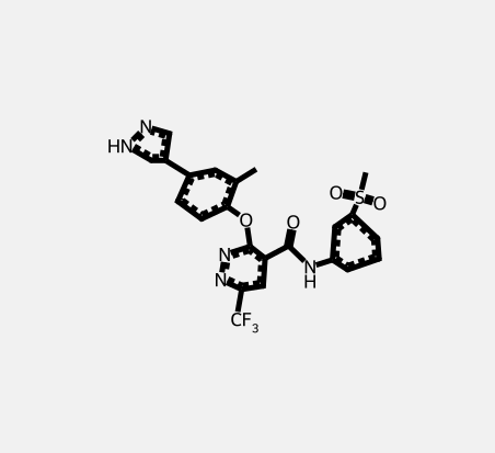 Cc1cc(-c2cn[nH]c2)ccc1Oc1nnc(C(F)(F)F)cc1C(=O)Nc1cccc(S(C)(=O)=O)c1